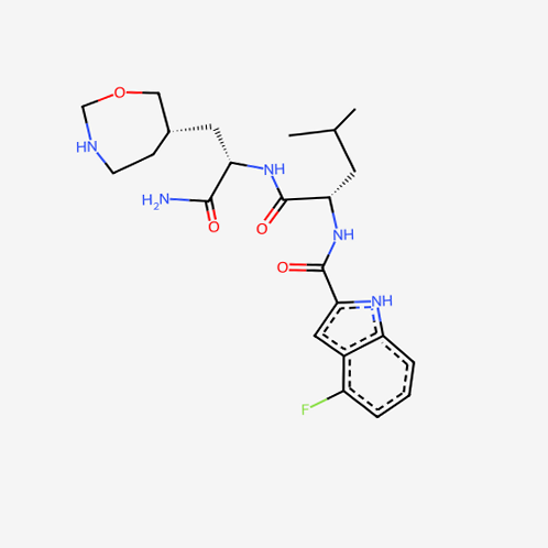 CC(C)C[C@H](NC(=O)c1cc2c(F)cccc2[nH]1)C(=O)N[C@@H](C[C@@H]1CCNCOC1)C(N)=O